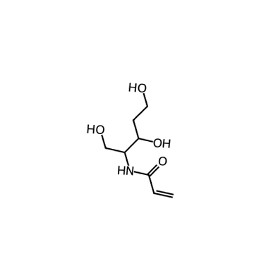 C=CC(=O)NC(CO)C(O)CCO